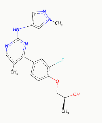 Cc1cnc(Nc2cnn(C)c2)nc1-c1ccc(OC[C@H](C)O)c(F)c1